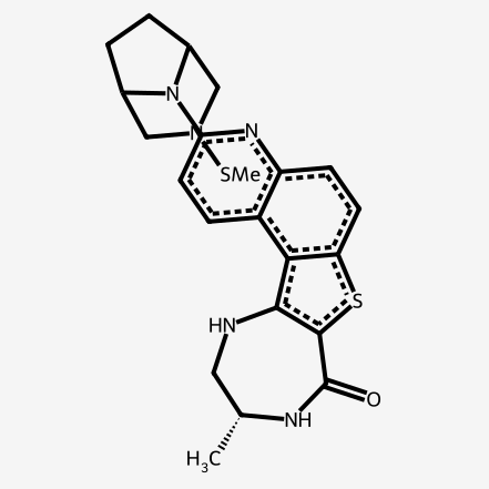 CSN1CC2CCC(C1)N2c1ccc2c(ccc3sc4c(c32)NC[C@@H](C)NC4=O)n1